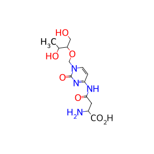 CC(O)C(CO)OCn1ccc(NC(=O)CC(N)C(=O)O)nc1=O